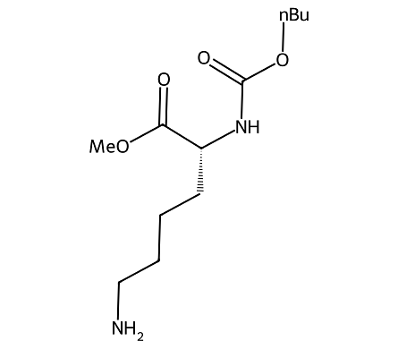 CCCCOC(=O)N[C@H](CCCCN)C(=O)OC